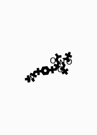 CC(C)C(=O)C(N(CC(=O)C(C)(C)C)CC(=O)C(C)(C)C)C(C)(C)CC(C)(C)c1ccc(C(C)(C)CC(C)(C)N(C)C(C)(C)C)cc1